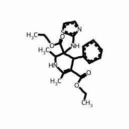 CCOC(=O)C1=C(C)NC(C)C(Nc2nccs2)(C(=O)OCC)C1c1ccccc1